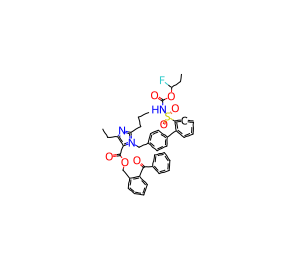 CCCc1nc(CC)c(C(=O)OCc2ccccc2C(=O)c2ccccc2)n1Cc1ccc(-c2ccccc2S(=O)(=O)NC(=O)OC(F)CC)cc1